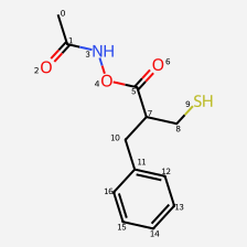 CC(=O)NOC(=O)C(CS)Cc1ccccc1